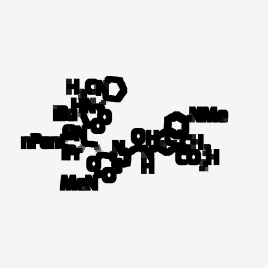 CCCCCON(C(=O)[C@@H](NC(=O)[C@H]1CCCCN1C)[C@@H](C)CC)[C@H](C[C@@H](OC(=O)NC)c1nc(C(=O)N[C@@H](Cc2ccc(NC)cc2)CC(C)(C)C(=O)O)cs1)C(C)C